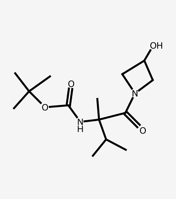 CC(C)C(C)(NC(=O)OC(C)(C)C)C(=O)N1CC(O)C1